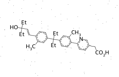 CCC(O)(C=Cc1ccc(C(CC)(CC)c2ccc(-c3ccc(CC(=O)O)cn3)c(C)c2)cc1C)CC